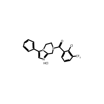 Cl.O=C(c1cccc(C(F)(F)F)c1Cl)N1CCn2c(-c3ccccc3)cnc2C1